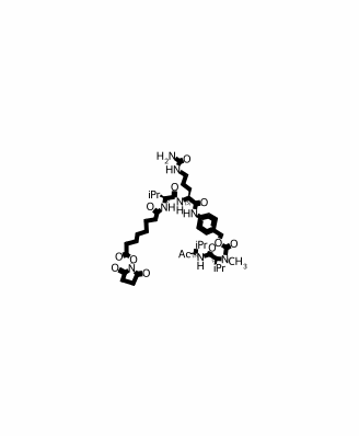 CC(=O)[C@@H](NC(=O)[C@H](C(C)C)N(C)C(=O)OCc1ccc(NC(=O)[C@H](CCCNC(N)=O)NC(=O)[C@@H](NC(=O)CCCCCCC(=O)ON2C(=O)CCC2=O)C(C)C)cc1)C(C)C